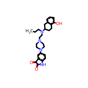 CCCN(CCN1CCN(c2ccc3c(c2)C(=O)C(=O)N3)CC1)C1CCc2c(O)cccc2C1